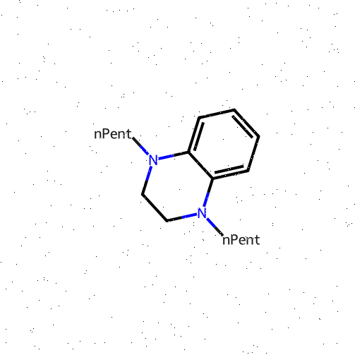 CCCCCN1CCN(CCCCC)c2ccccc21